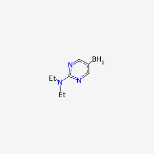 Bc1cnc(N(CC)CC)nc1